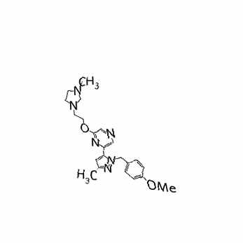 COc1ccc(Cn2nc(C)cc2-c2cncc(OCCN3CCN(C)C3)n2)cc1